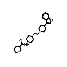 O=C(N[C@H]1CC[C@H](CCN2CCC(c3coc4ccccc34)CC2)CC1)C1CCCOC1